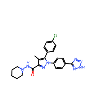 Cc1c(C(=O)NN2CCCCC2)nn(-c2ccc(-c3nn[nH]n3)cc2)c1-c1ccc(Cl)cc1